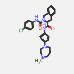 CN1CCCN(c2ccc(NC(=O)[C@@H]3Cc4ccccc4CN3C(=O)Nc3ccc(Cl)cc3)cc2)CC1